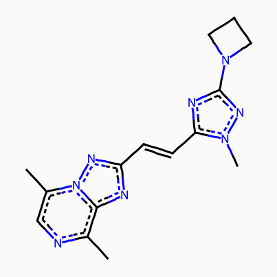 Cc1ncc(C)n2nc(/C=C/c3nc(N4CCC4)nn3C)nc12